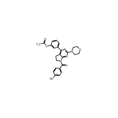 N#Cc1ccc(C(=O)N2CCc3c(-c4cccc(OC(=O)C(F)(F)F)c4)nc(N4CCOCC4)nc32)cc1